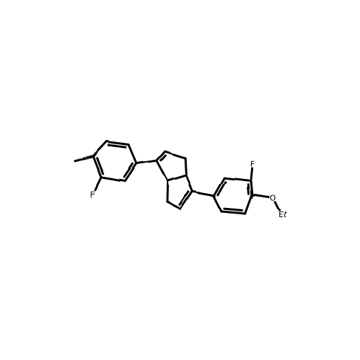 CCOc1ccc(C2=CCC3C(c4ccc(C)c(F)c4)=CCC23)cc1F